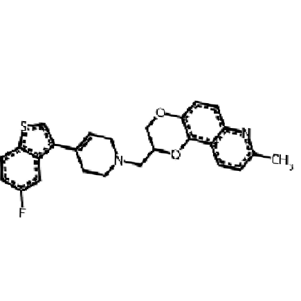 Cc1ccc2c3c(ccc2n1)OCC(CN1CC=C(c2csc4ccc(F)cc24)CC1)O3